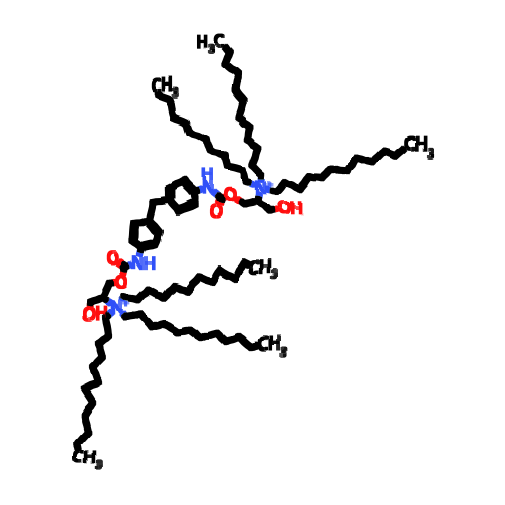 CCCCCCCCCCCC[N+](CCCCCCCCCCCC)(CCCCCCCCCCCC)C(CO)COC(=O)Nc1ccc(Cc2ccc(NC(=O)OCC(CO)[N+](CCCCCCCCCCCC)(CCCCCCCCCCCC)CCCCCCCCCCCC)cc2)cc1